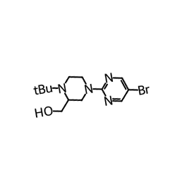 CC(C)(C)N1CCN(c2ncc(Br)cn2)CC1CO